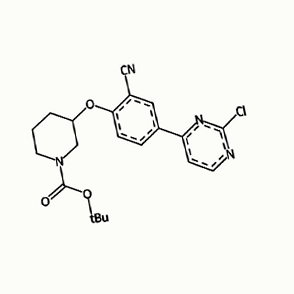 CC(C)(C)OC(=O)N1CCCC(Oc2ccc(-c3ccnc(Cl)n3)cc2C#N)C1